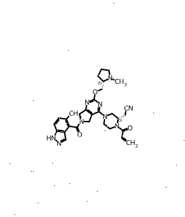 C=CC(=O)N1CCN(c2nc(OC[C@@H]3CCCN3C)nc3c2CN(C(=O)c2c(C)ccc4[nH]ncc24)C3)C[C@@H]1CC#N